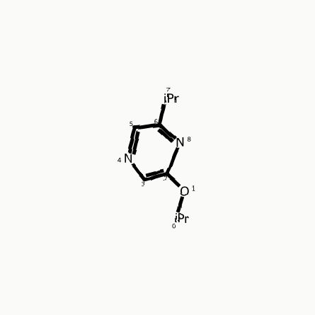 CC(C)Oc1cncc(C(C)C)n1